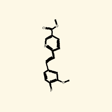 COC(=O)c1ccc(/C=C/c2ccc(F)c(OC)c2)nc1